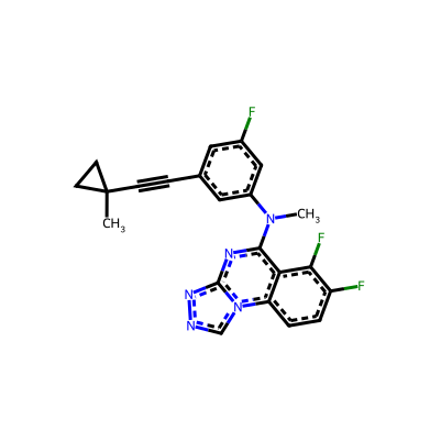 CN(c1cc(F)cc(C#CC2(C)CC2)c1)c1nc2nncn2c2ccc(F)c(F)c12